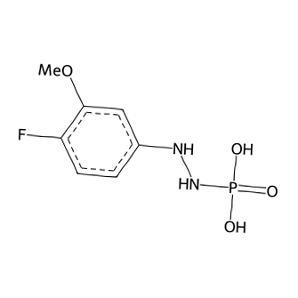 COc1cc(NNP(=O)(O)O)ccc1F